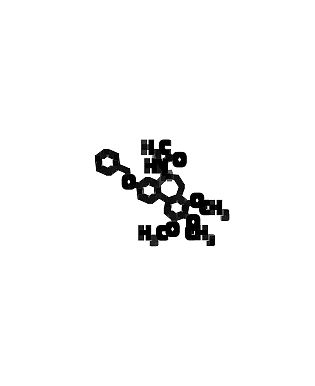 COc1cc2c(c(OC)c1OC)CC[C@H](NC(C)=O)c1cc(OCc3ccccc3)ccc1-2